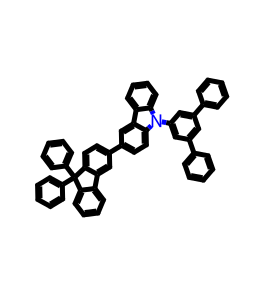 c1ccc(-c2cc(-c3ccccc3)cc(-n3c4ccccc4c4cc(-c5ccc6c(c5)-c5ccccc5C6(c5ccccc5)c5ccccc5)ccc43)c2)cc1